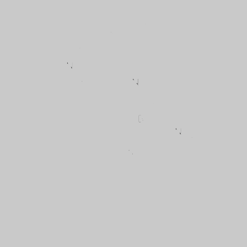 c1ccc(-c2ccc3sc4c(c3c2)N(c2ccccc2)c2cccc3c2B4c2ccc4cc2N3c2ccccc2Sc2ccccc2N4c2ccccc2)cc1